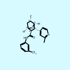 Cc1cc([C@H]2[C@H]3O[C@H](C[C@@H]3F)[C@@H]2C(=O)Nc2cccc(C(F)(F)F)c2)ccn1